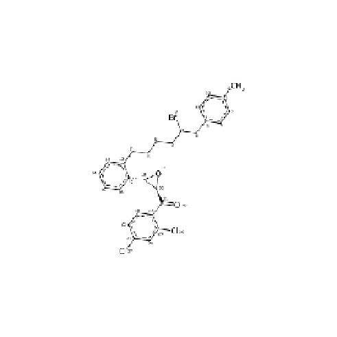 Cc1ccc(CC(Br)CCCCc2ccccc2[C@@H]2O[C@H]2C(=O)c2ccc(Cl)cc2Cl)cc1